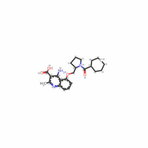 Cc1nc2cccc(OCC3CCCN3C(=O)C3CCCCCC3)c2c(N)c1C(=O)O